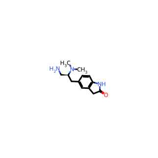 CN(C)[C@H](CN)Cc1ccc2c(c1)CC(=O)N2